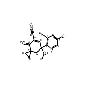 COC1(c2ncc(Cl)cc2F)C=C(C#N)C(=O)C2(CC2)C1